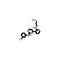 OCCCNc1ncccc1-c1ccnc(Nc2cccc(Cl)c2)n1